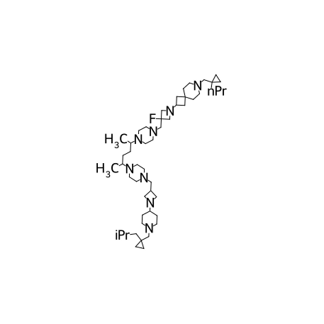 CCCC1(CN2CCC3(CC2)CC(N2CC(F)(CN4CCN(C(C)CCC(C)N5CCN(CC6CN(C7CCN(CC8(CC(C)C)CC8)CC7)C6)CC5)CC4)C2)C3)CC1